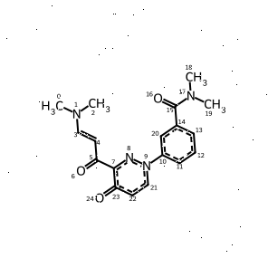 CN(C)C=CC(=O)c1nn(-c2cccc(C(=O)N(C)C)c2)ccc1=O